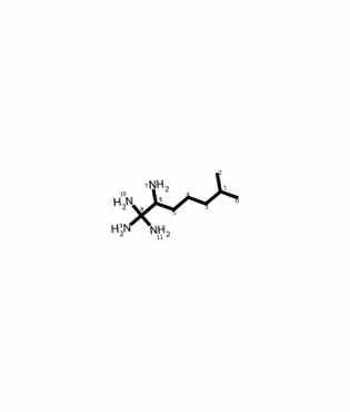 CC(C)CCCC(N)C(N)(N)N